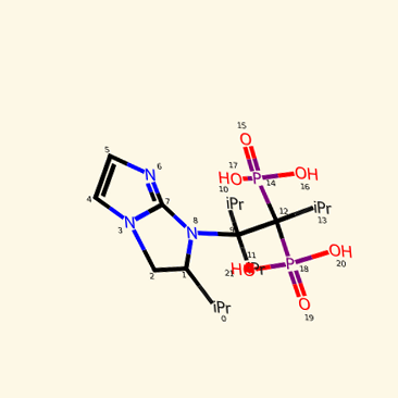 CC(C)C1Cn2ccnc2N1C(C(C)C)(C(C)C)C(C(C)C)(P(=O)(O)O)P(=O)(O)O